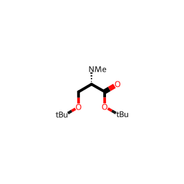 [CH2]N[C@@H](COC(C)(C)C)C(=O)OC(C)(C)C